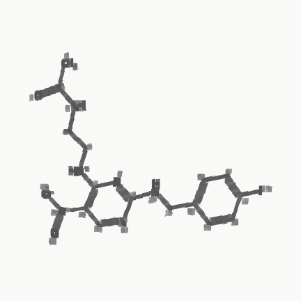 CC(=O)NCCNc1nc(NCc2ccc(F)cc2)ncc1[N+](=O)[O-]